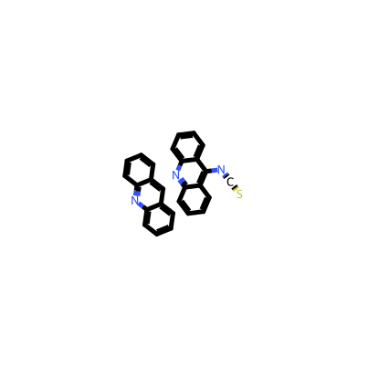 S=C=Nc1c2ccccc2nc2ccccc12.c1ccc2nc3ccccc3cc2c1